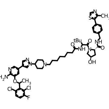 Cc1ncsc1-c1ccc(CNC(=O)[C@@H]2C[C@@H](O)CN2C(=O)C(NC(=O)CCCCCCCN2CCC(n3cc(-c4cnc(N)c(OC(C)c5c(Cl)ccc(F)c5Cl)c4)cn3)CC2)C(C)(C)C)cc1